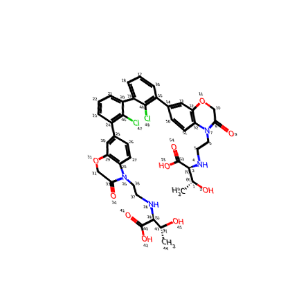 C[C@@H](O)[C@H](NCCN1C(=O)COc2cc(-c3cccc(-c4cccc(-c5ccc6c(c5)OCC(=O)N6CCN[C@H](C(=O)O)[C@@H](C)O)c4Cl)c3Cl)ccc21)C(=O)O